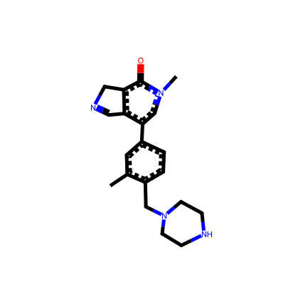 Cc1cc(-c2cn(C)c(=O)c3c2C=NC3)ccc1CN1CCNCC1